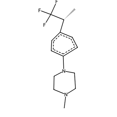 C[C@H](c1ccc(N2CCN(C)CC2)cc1)C(F)(F)F